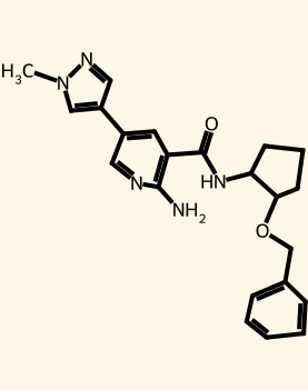 Cn1cc(-c2cnc(N)c(C(=O)NC3CCCC3OCc3ccccc3)c2)cn1